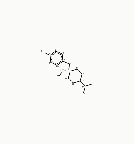 COC1(Cc2ccc(F)cc2)CCC(C(C)C)CC1